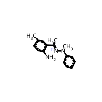 C/C(=N\N(C)c1ccccc1)c1cc(C)ccc1N